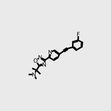 CN(C)C(C)(C)c1nc(-c2ccc(C#Cc3cccc(F)c3)cn2)no1